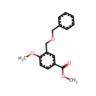 COC(=O)c1ccc(OC)c(COCc2ccccc2)c1